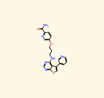 NC(=O)c1ccc(OCCCNc2ncnc3scc(-c4cccnc4)c23)cn1